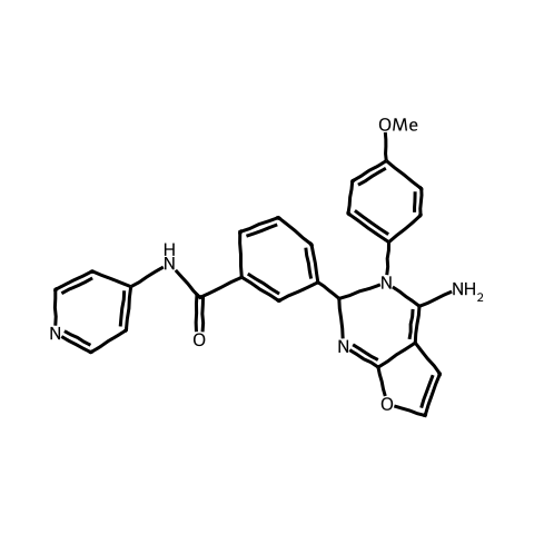 COc1ccc(N2C(N)=c3ccoc3=NC2c2cccc(C(=O)Nc3ccncc3)c2)cc1